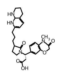 CN1C(=O)COc2cc([C@H](CC(=O)O)N3CCC(CCCC4=CC=C5CCCNC5N4)C3=O)ccc21